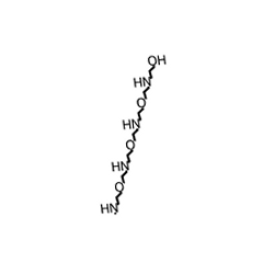 CNCCCOCCCNCCCOCCCNCCCOCCCNCCCO